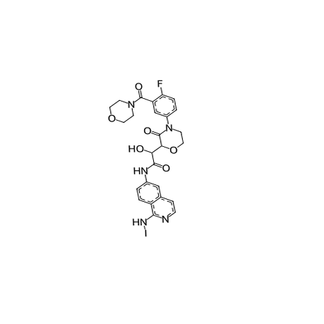 O=C(Nc1ccc2c(NI)nccc2c1)C(O)C1OCCN(c2ccc(F)c(C(=O)N3CCOCC3)c2)C1=O